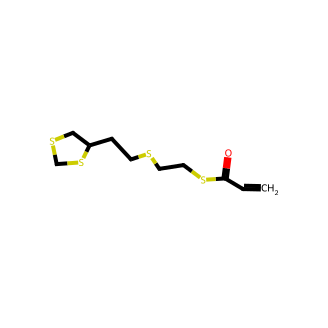 C=CC(=O)SCCSCCC1CSCS1